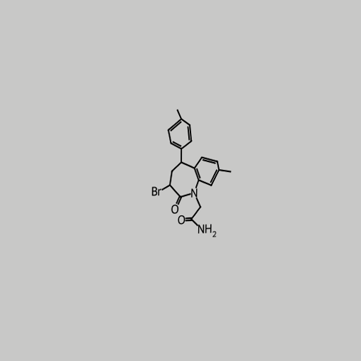 Cc1ccc(C2CC(Br)C(=O)N(CC(N)=O)c3cc(C)ccc32)cc1